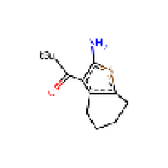 CC(C)(C)C(=O)c1c(N)sc2c1CCCC2